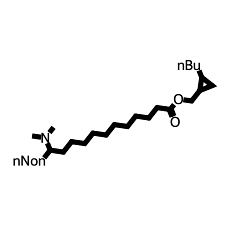 CCCCCCCCCC(CCCCCCCCCCC(=O)OCC1CC1CCCC)N(C)C